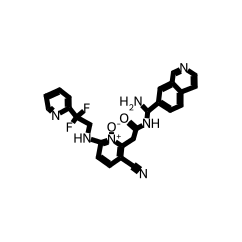 N#Cc1ccc(NCC(F)(F)c2ccccn2)[n+]([O-])c1CC(=O)NC(N)c1ccc2ccncc2c1